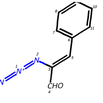 [N-]=[N+]=NC(C=O)=Cc1ccccc1